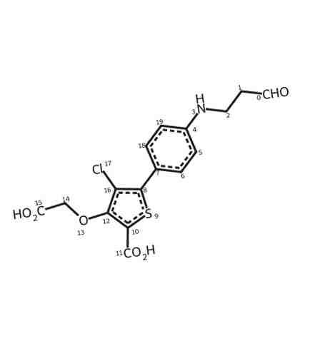 O=CCCNc1ccc(-c2sc(C(=O)O)c(OCC(=O)O)c2Cl)cc1